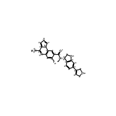 CN(C(=O)c1cc2c(cc1F)nc(N)c1cncn12)[C@@H]1COc2cc(C3=CCOC3)ccc21